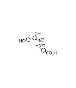 Cc1cc(O)ccc1-c1cc(O)cc(CN2CCCC2C(=O)N[C@@H](C)c2ccc(C(=O)O)cc2)c1